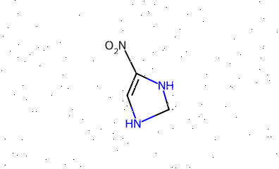 O=[N+]([O-])C1=CN[CH]N1